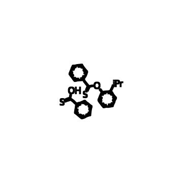 CC(C)c1ccccc1OC(=S)c1ccccc1.OC(=S)c1ccccc1